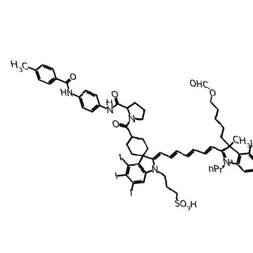 CCC[N+]1=C(/C=C/C=C/C=C/C=C2\N(CCCS(=O)(=O)O)c3cc(I)c(I)c(I)c3C23CCC(C(=O)N2CCCC2C(=O)Nc2ccc(NC(=O)c4ccc(C)cc4)cc2)CC3)C(C)(CCCCCOC=O)c2c1cc(I)c(I)c2I